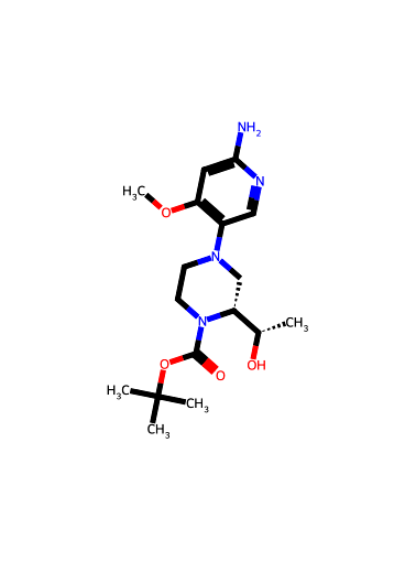 COc1cc(N)ncc1N1CCN(C(=O)OC(C)(C)C)[C@@H]([C@H](C)O)C1